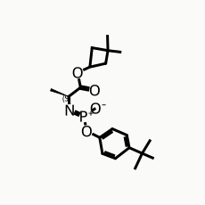 C[C@H](N=[P+]([O-])Oc1ccc(C(C)(C)C)cc1)C(=O)OC1CC(C)(C)C1